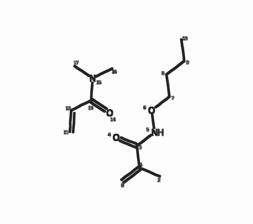 C=C(C)C(=O)NOCCCC.C=CC(=O)N(C)C